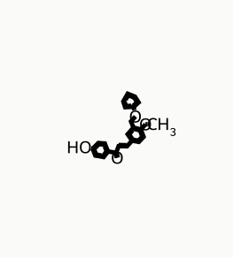 COc1ccc(/C=C/C(=O)c2ccc(O)cc2)cc1COc1ccccc1